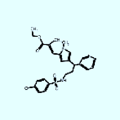 CCOC(=O)/C(C)=C/c1cc(C(CCNS(=O)(=O)c2ccc(Cl)cc2)c2cccnc2)cn1C